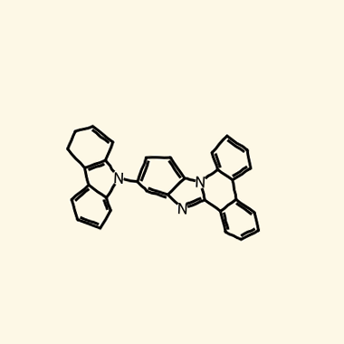 C1=Cc2c(c3ccccc3n2-c2ccc3c(c2)nc2c4ccccc4c4ccccc4n32)CC1